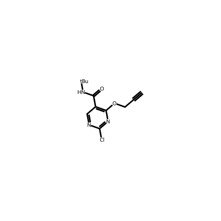 C#CCOc1nc(Cl)ncc1C(=O)NC(C)(C)C